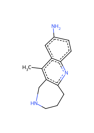 Cc1c2c(nc3ccc(N)cc13)CCCNC2